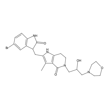 Cc1c(CC2C(=O)Nc3ccc(Br)cc32)[nH]c2c1C(=O)N(CC(O)CN1CCOCC1)CC2